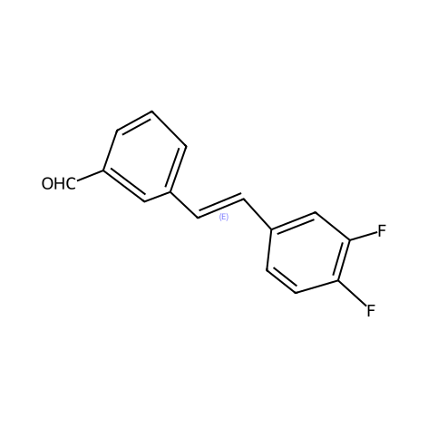 O=Cc1cccc(/C=C/c2ccc(F)c(F)c2)c1